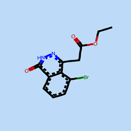 CCOC(=O)Cc1n[nH]c(=O)c2cccc(Br)c12